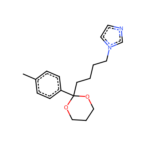 Cc1ccc(C2(CCCCn3ccnc3)OCCCO2)cc1